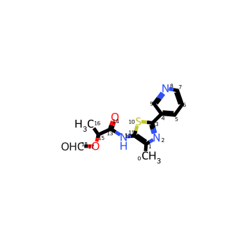 Cc1nc(-c2cccnc2)sc1NC(=O)C(C)OC=O